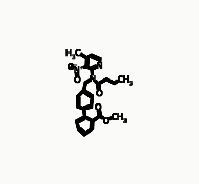 CCCC(=O)N(Cc1ccc(-c2ccccc2C(=O)OC)cc1)c1nccc(C)c1[N+](=O)[O-]